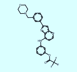 O=C(Oc1cccc(Nc2ccnc3cc(-c4cccc(CN5CCOCC5)c4)sc23)c1)C(F)(F)F